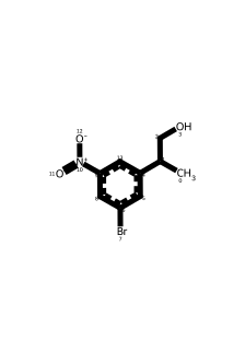 C[C](CO)c1cc(Br)cc([N+](=O)[O-])c1